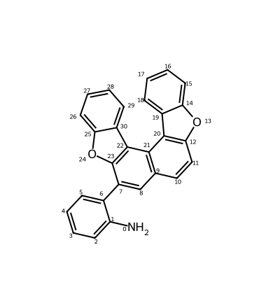 Nc1ccccc1-c1cc2ccc3oc4ccccc4c3c2c2c1oc1ccccc12